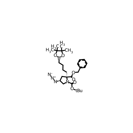 CC(C)(C)OC(=O)N1C[C@@H](N=[N+]=[N-])C[C@@]1(CCCCB1OC(C)(C)C(C)(C)O1)C(=O)OCc1ccccc1